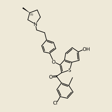 Cc1ccc(Cl)cc1C(=O)c1sc2cc(O)ccc2c1Oc1ccc(CCN2CC[C@H](C)C2)cc1